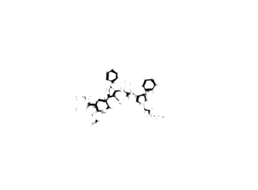 CCNC(O)c1cc(-c2nn(-c3ccccc3)c(NC(=O)N[C@@H]3CN(CCOC)C[C@H]3c3ccccc3)c2C)cnc1OCF